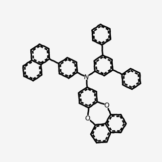 c1ccc(-c2cc(-c3ccccc3)cc(N(c3ccc(-c4cccc5ccccc45)cc3)c3ccc4c(c3)Oc3cccc5cccc(c35)O4)c2)cc1